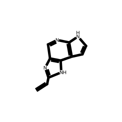 C=Cc1nc2cnc3[nH]ccc3c2[nH]1